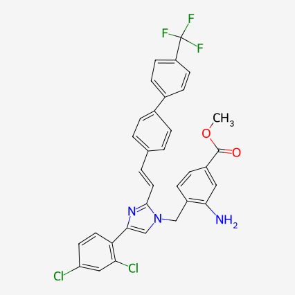 COC(=O)c1ccc(Cn2cc(-c3ccc(Cl)cc3Cl)nc2C=Cc2ccc(-c3ccc(C(F)(F)F)cc3)cc2)c(N)c1